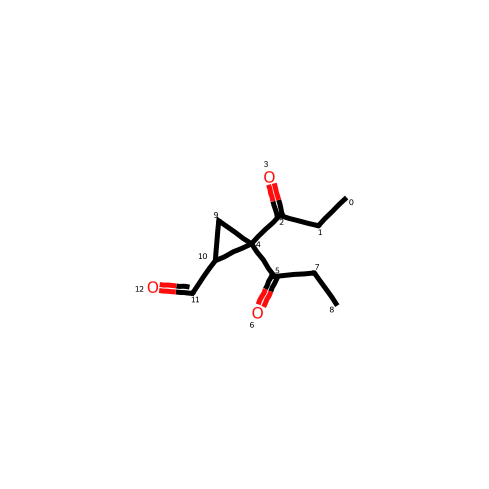 CCC(=O)C1(C(=O)CC)CC1C=O